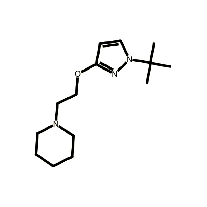 CC(C)(C)n1ccc(OCCN2CCCCC2)n1